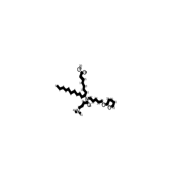 CCCCCCCCCCC(CCCCC=CC(=O)OC)N(CCCCCOC1CCCCO1)C(=O)CCCN(C)C